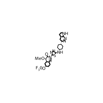 CO[C@H](C(=O)Nc1nnc(N[C@H]2CC[C@@H](c3cc4cc[nH]c4nn3)CC2)s1)c1cc(OC(F)(F)F)ccc1F